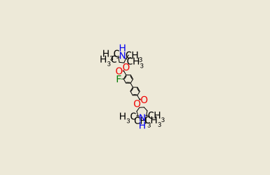 CC1(C)CCC(OC(=O)c2ccc(-c3ccc(C(=O)OC4CC(C)(C)NC4(C)C)c(F)c3)cc2)CC(C)(C)N1